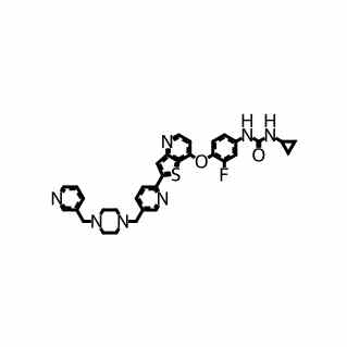 O=C(Nc1ccc(Oc2ccnc3cc(-c4ccc(CN5CCN(Cc6cccnc6)CC5)cn4)sc23)c(F)c1)NC1CC1